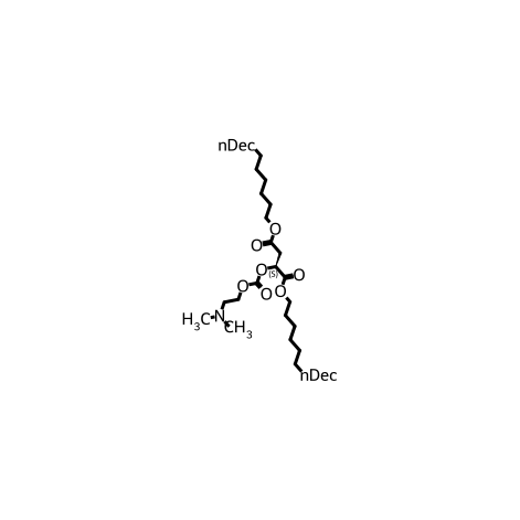 CCCCCCCCCCCCCCCCOC(=O)C[C@H](OC(=O)OCCN(C)C)C(=O)OCCCCCCCCCCCCCCCC